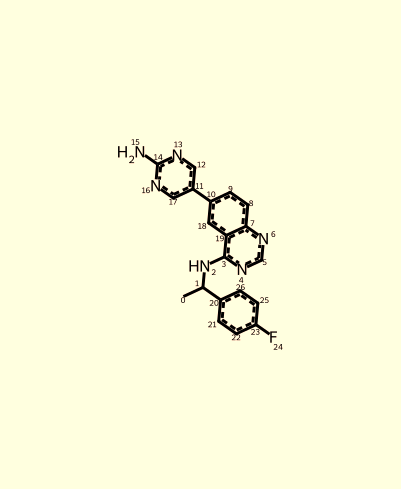 CC(Nc1ncnc2ccc(-c3cnc(N)nc3)cc12)c1ccc(F)cc1